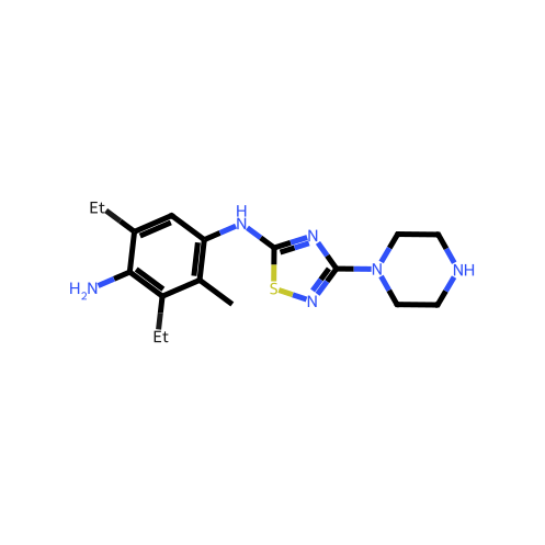 CCc1cc(Nc2nc(N3CCNCC3)ns2)c(C)c(CC)c1N